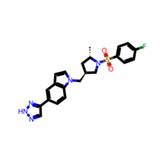 C[C@H]1C[C@H](Cn2ccc3cc(-c4cn[nH]n4)ccc32)CN1S(=O)(=O)c1ccc(F)cc1